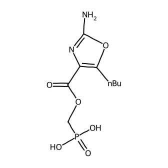 CCCCc1oc(N)nc1C(=O)OCP(=O)(O)O